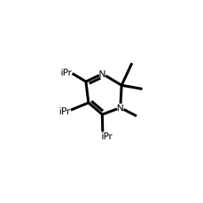 CC(C)C1=NC(C)(C)N(C)C(C(C)C)=C1C(C)C